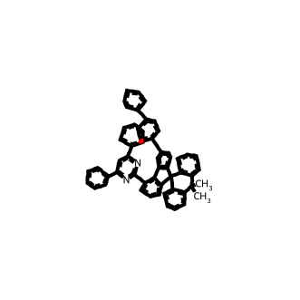 CC1(C)c2ccccc2C2(c3ccc(-c4ccc(-c5ccccc5)cc4)cc3-c3c(-c4nc(-c5ccccc5)cc(-c5ccccc5)n4)cccc32)c2ccccc21